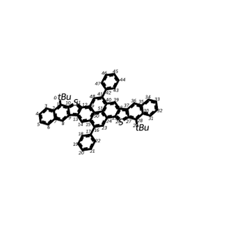 CC(C)(C)c1c2ccccc2cc2c1sc1c2cc2c(-c3ccccc3)cc3c4sc5c(C(C)(C)C)c6ccccc6cc5c4cc4c(-c5ccccc5)cc1c2c43